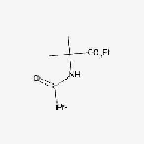 CCOC(=O)C(C)(C)NC(=O)[C](C)C